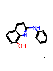 Oc1cccc2ccc(Nc3ccccc3)nc12